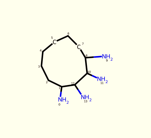 NC1CCCCCCC(N)C(N)C1N